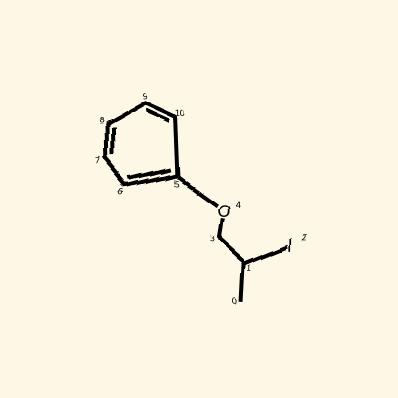 CC(I)COc1ccccc1